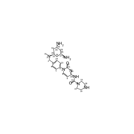 CN(Cc1ccc(-n2ccc(NC(=O)N3CCNCC3)nc2=O)cc1)[C@@H]1C[C@H](N)C[C@H](N)C1